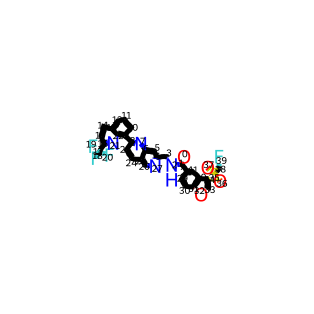 O=C(NCc1cc2nc(-c3cccc4ccc(C(F)(F)F)nc34)ccc2cn1)c1ccc2occ(S(=O)(=O)CF)c2c1